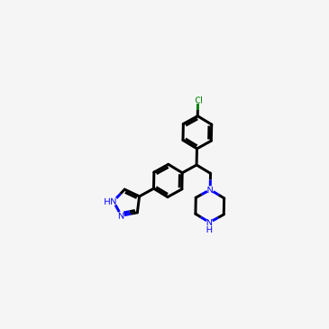 Clc1ccc(C(CN2CCNCC2)c2ccc(-c3cn[nH]c3)cc2)cc1